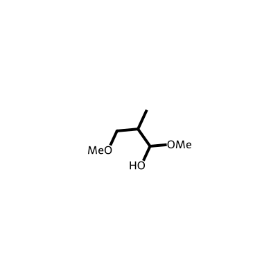 COCC(C)C(O)OC